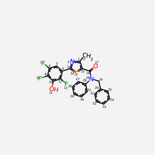 Cc1nc(-c2cc(F)c(F)c(O)c2F)sc1C(=O)N(Cc1ccccc1)c1ccccc1